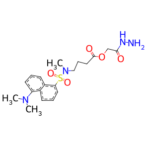 CN(C)c1cccc2c(S(=O)(=O)N(C)CCCC(=O)OCC(=O)NN)cccc12